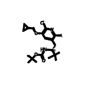 CC(C)(C)OC(=O)N[C@H](Cc1cc(OCC2CC2)c(Cl)nc1I)C(C)(C)C